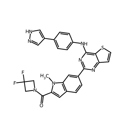 Cn1c(C(=O)N2CC(F)(F)C2)cc2ccc(-c3nc(Nc4ccc(-c5cn[nH]c5)cc4)c4sccc4n3)cc21